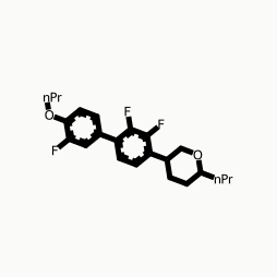 CCCOc1ccc(-c2ccc(C3CCC(CCC)OC3)c(F)c2F)cc1F